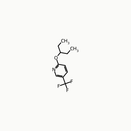 CCC(CC)Oc1ccc(C(F)(F)F)cn1